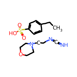 CCc1ccc(S(=O)(=O)O)cc1.N=C=NCCN1CCOCC1